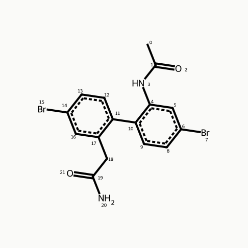 CC(=O)Nc1cc(Br)ccc1-c1ccc(Br)cc1CC(N)=O